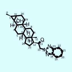 C[C@@H]1C2[C@@H]3CC[C@@H]4[C@H](CC[C@]5(C)[C@@H](C(=O)Cn6nc7ccccc7n6)CC[C@@H]45)[C@H]3CC[C@@]21O